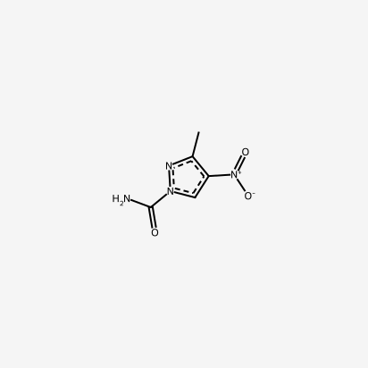 Cc1nn(C(N)=O)cc1[N+](=O)[O-]